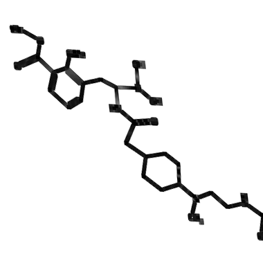 COc1c(CC(NC(=O)CC2CCC(N(C)CCNC(=O)OC(C)(C)C)CC2)B(O)O)cccc1C(=O)OC(C)(C)C